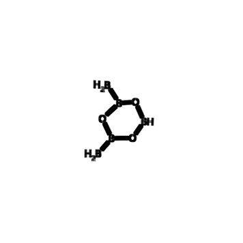 BB1OBOB(B)O1